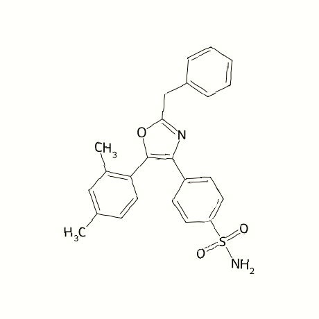 Cc1ccc(-c2oc(Cc3ccccc3)nc2-c2ccc(S(N)(=O)=O)cc2)c(C)c1